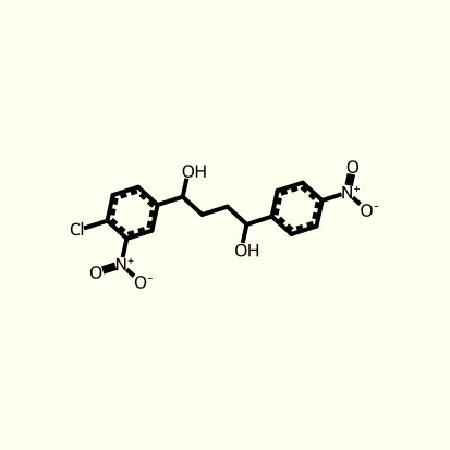 O=[N+]([O-])c1ccc(C(O)CCC(O)c2ccc(Cl)c([N+](=O)[O-])c2)cc1